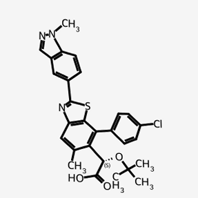 Cc1cc2nc(-c3ccc4c(cnn4C)c3)sc2c(-c2ccc(Cl)cc2)c1[C@H](OC(C)(C)C)C(=O)O